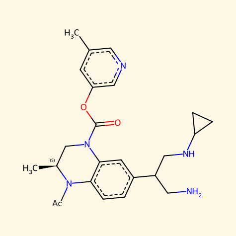 CC(=O)N1c2ccc(C(CN)CNC3CC3)cc2N(C(=O)Oc2cncc(C)c2)C[C@@H]1C